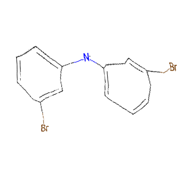 Brc1cccc([N]c2cccc(Br)c2)c1